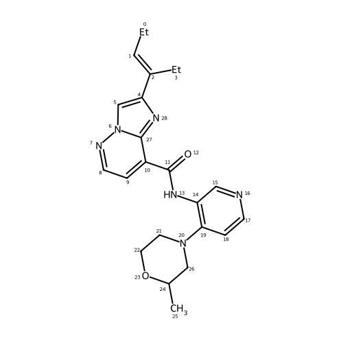 CC/C=C(\CC)c1cn2nccc(C(=O)Nc3cnccc3N3CCOC(C)C3)c2n1